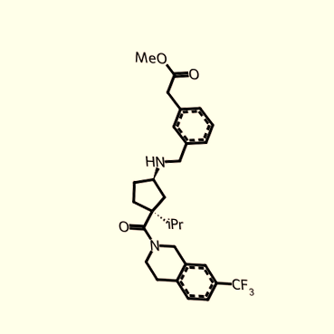 COC(=O)Cc1cccc(CN[C@@H]2CC[C@@](C(=O)N3CCc4ccc(C(F)(F)F)cc4C3)(C(C)C)C2)c1